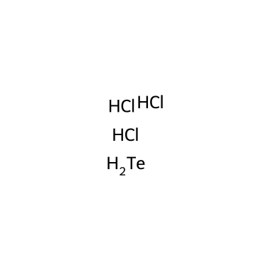 Cl.Cl.Cl.[TeH2]